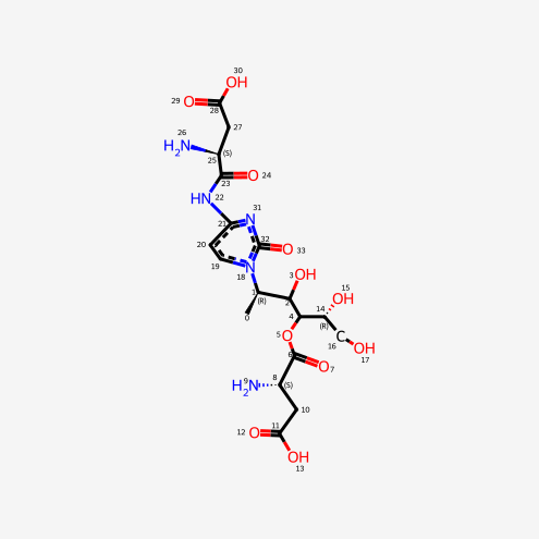 C[C@H](C(O)C(OC(=O)[C@@H](N)CC(=O)O)[C@H](O)CO)n1ccc(NC(=O)[C@@H](N)CC(=O)O)nc1=O